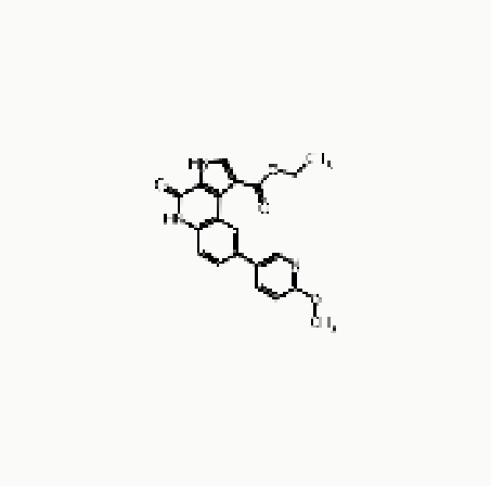 CCOC(=O)c1c[nH]c2c(=O)[nH]c3ccc(-c4ccc(OC)nc4)cc3c12